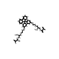 C=C(C)C(=C)OCC(O)COCCOc1ccc(C2(c3ccc(OCCOCC(O)COC(=O)C(=C)C)cc3)c3ccccc3-c3ccccc32)cc1